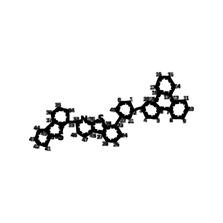 c1cc(-c2ccc3c4ccccc4c4ccccc4c3c2)cc(-c2cccc3c2sc2nc(-c4cccc5c4sc4ccccc45)ccc23)c1